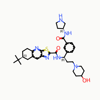 CC(C)(C)[C@H]1CCc2nc3sc(C(=O)N[C@H](CCN4CCC(O)CC4)c4cccc(C(=O)N[C@@H]5CCNC5)c4)nc3cc2C1